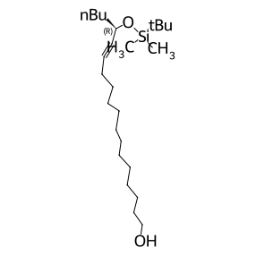 CCCC[C@H](C#CCCCCCCCCCCCCO)O[Si](C)(C)C(C)(C)C